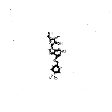 O=[N+]([O-])c1ccc(CSC2=CN(Cl)C=C3C2=NCN3C2OC(CO)C(O)C2O)cc1